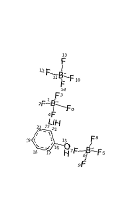 F[B-](F)(F)F.F[B-](F)(F)F.F[B-](F)(F)F.Oc1ccccc1.[LiH]